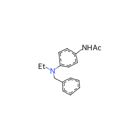 CCN(Cc1ccccc1)c1ccc(NC(C)=O)cc1